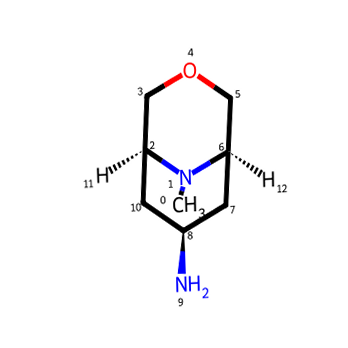 CN1[C@@H]2COC[C@H]1C[C@@H](N)C2